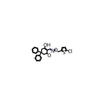 O=C1CC(c2ccccc2)(c2ccccc2)CC(O)=C1/C=N/OCc1ccc(Cl)s1